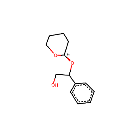 OCC(O[C@@H]1CCCCO1)c1ccccc1